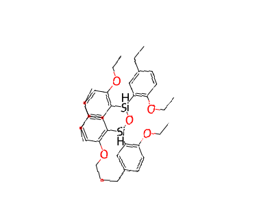 CCOc1ccc(CC)cc1[SiH](O[SiH](c1cc(CC)ccc1OCC)c1cc(CC)ccc1OCC)c1cc(CC)ccc1OCC